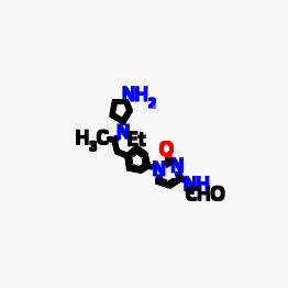 CCN(C(C)Cc1ccc(-n2ccc(NC=O)nc2=O)cc1)C1CC[C@H](N)C1